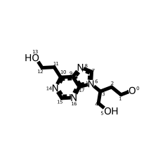 [O]CCC(CO)n1cnc2c(CCO)ncnc21